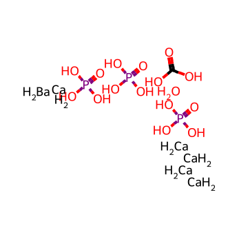 O.O=C(O)O.O=P(O)(O)O.O=P(O)(O)O.O=P(O)(O)O.[BaH2].[CaH2].[CaH2].[CaH2].[CaH2].[CaH2]